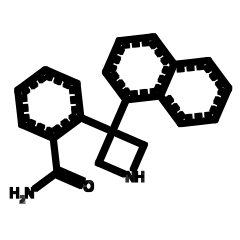 NC(=O)c1ccccc1C1(c2cccc3ccccc23)CNC1